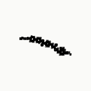 CCCCCC1CCC(C2CCC(OC(=O)c3ccc(/C=C/C(=O)OCCc4ccc(N)cc4N)cc3)CC2)CC1